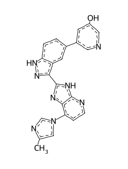 Cc1cn(-c2ccnc3[nH]c(-c4n[nH]c5ccc(-c6cncc(O)c6)cc45)nc23)cn1